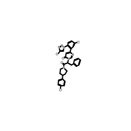 O=C(C(Cc1ccccc1)n1cnc(-c2cc(Cl)ccc2-n2cc(Cl)nn2)cc1=O)N1CCC(c2ccc(Cl)cc2)CC1